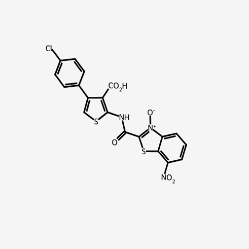 O=C(O)c1c(-c2ccc(Cl)cc2)csc1NC(=O)c1sc2c([N+](=O)[O-])cccc2[n+]1[O-]